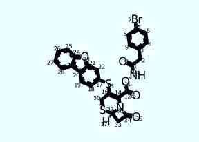 O=C(Cc1ccc(Br)cc1)NOC(=O)C1=C(Sc2ccc3c(c2)oc2ccccc23)CS[C@H]2CC(=O)N12